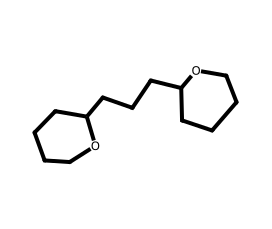 C1CCC(CCCC2CCCCO2)OC1